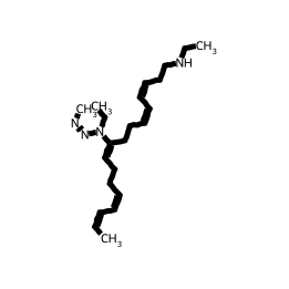 C/C=C\C=C/CC/C=C(\CC/C=C\C=C/CCNCC)N(CC)/N=N\C